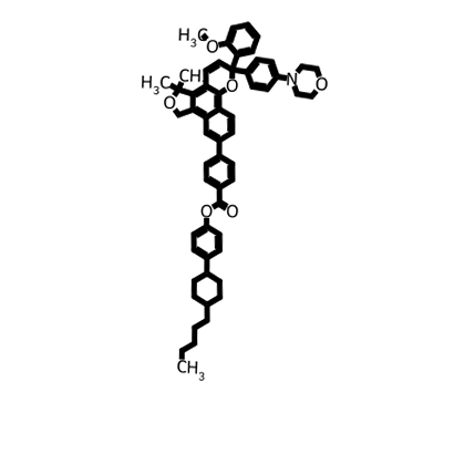 CCCCCC1CCC(c2ccc(OC(=O)c3ccc(-c4ccc5c6c(c7c(c5c4)COC7(C)C)C=CC(c4ccc(N5CCOCC5)cc4)(c4ccccc4OC)O6)cc3)cc2)CC1